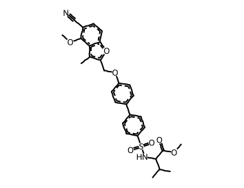 COC(=O)C(NS(=O)(=O)c1ccc(-c2ccc(OCc3oc4ccc(C#N)c(OC)c4c3C)cc2)cc1)C(C)C